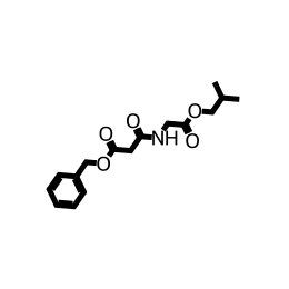 CC(C)COC(=O)CNC(=O)CC(=O)OCc1ccccc1